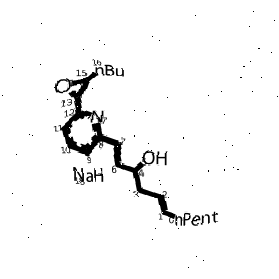 CCCCCC=CCC(O)C=Cc1cccc(C2OC2CCCC)n1.[NaH]